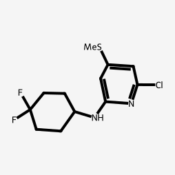 CSc1cc(Cl)nc(NC2CCC(F)(F)CC2)c1